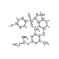 Cc1cc(C[C@H](N)C(=O)O)cc(C)c1Oc1ccc2[nH]cc(S(=O)(=O)c3ccc(F)cc3)c2c1